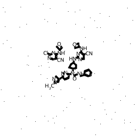 Cn1cc(-c2ccc(N(C(=O)NCc3ccccc3)C3CCC(Nc4ncc(C#N)c(NC5COC5)n4)CC3)nn2)cn1.N#Cc1cnc(Cl)nc1NC1COC1